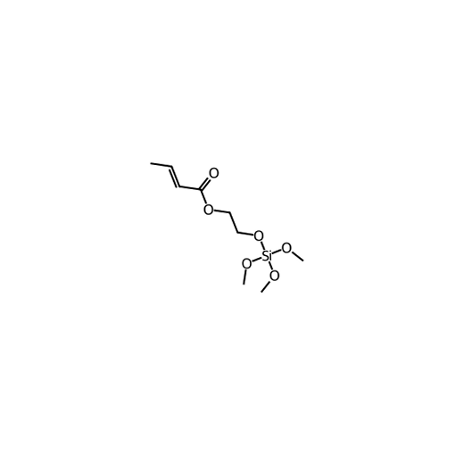 CC=CC(=O)OCCO[Si](OC)(OC)OC